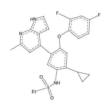 CCS(=O)(=O)Nc1cc(-c2cc(C)nc3[nH]ccc23)c(Oc2ccc(F)cc2F)cc1C1CC1